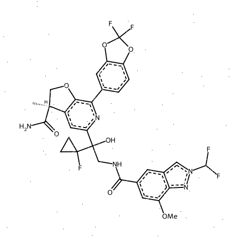 COc1cc(C(=O)NCC(O)(c2cc3c(c(-c4ccc5c(c4)OC(F)(F)O5)n2)OC[C@]3(C)C(N)=O)C2(F)CC2)cc2cn(C(F)F)nc12